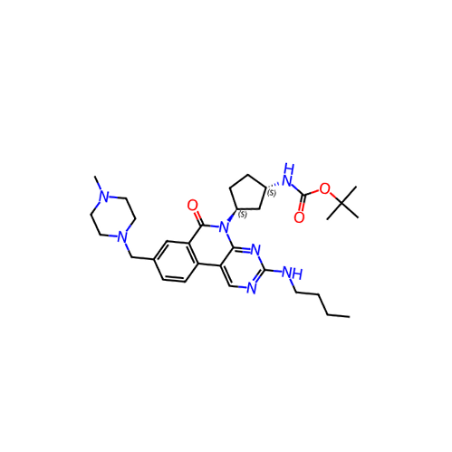 CCCCNc1ncc2c3ccc(CN4CCN(C)CC4)cc3c(=O)n([C@H]3CC[C@H](NC(=O)OC(C)(C)C)C3)c2n1